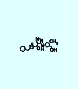 C[C@H]1C[C@H](Nc2ncncc2C(=O)c2cc(CC3=CCCCC3)cs2)C[C@@H]1CO